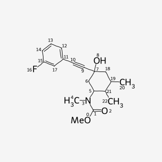 COC(=O)N(C)C1CC(O)(C#Cc2cccc(F)c2)CC(C)C1C